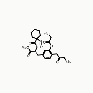 COC(=O)[C@H](Cc1ccc(CC(=O)CC(C)(C)C)c(OC(=O)CC(C)(C)C)c1)NC(=O)C1(N)CCCCC1